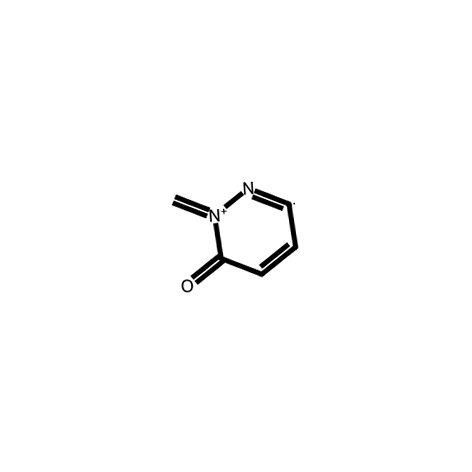 C=[N+]1N=[C]C=CC1=O